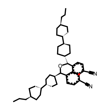 CCC[C@H]1CC[C@H]([C@H]2CC[C@H](C(OC(c3ccc(C#N)cc3)[C@H]3CC[C@H]([C@H]4CC[C@H](CCC)CC4)CC3)c3ccc(C#N)cc3)CC2)CC1